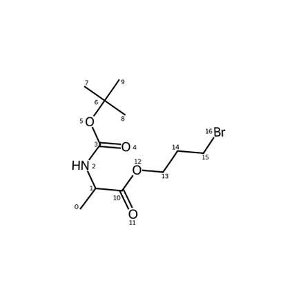 CC(NC(=O)OC(C)(C)C)C(=O)OCCCBr